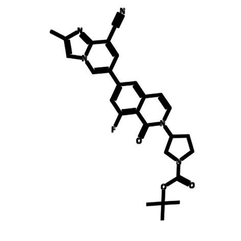 Cc1cn2cc(-c3cc(F)c4c(=O)n(C5CCN(C(=O)OC(C)(C)C)C5)ccc4c3)cc(C#N)c2n1